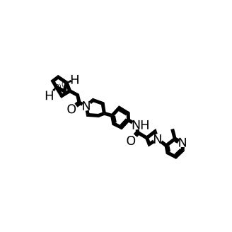 Cc1ncccc1N1CC(C(=O)Nc2ccc(C3CCN(C(=O)CC4C[C@@H]5CC[C@H]4C5)CC3)cc2)C1